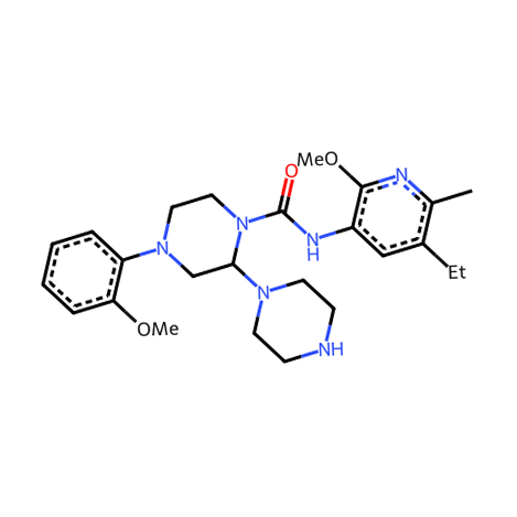 CCc1cc(NC(=O)N2CCN(c3ccccc3OC)CC2N2CCNCC2)c(OC)nc1C